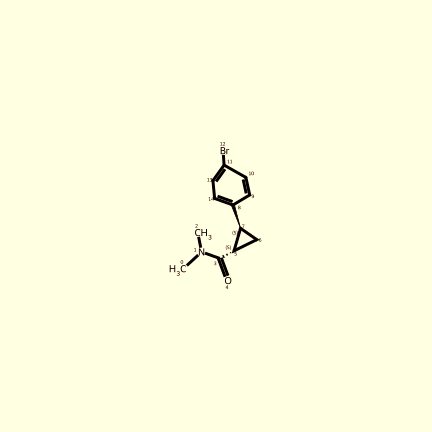 CN(C)C(=O)[C@H]1C[C@@H]1c1ccc(Br)cc1